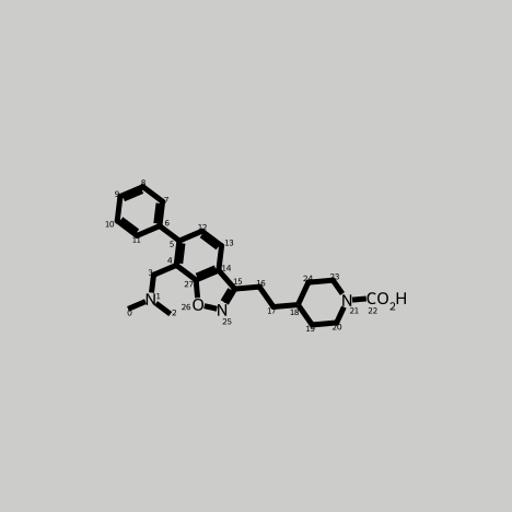 CN(C)Cc1c(-c2ccccc2)ccc2c(CCC3CCN(C(=O)O)CC3)noc12